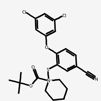 CC(C)(C)OC(=O)[N+]1(Sc2cc(C#N)ccc2Oc2cc(Cl)cc(Cl)c2)CCCCC1